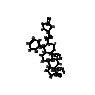 C[C@]12CCC(=NO[C@H]3CCNC3)C(c3ccccc3)C1CCC1C2CC[C@]2(C)C(=O)CCC12